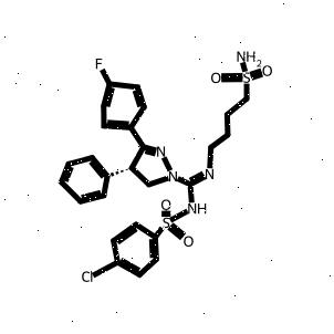 NS(=O)(=O)CCCC/N=C(/NS(=O)(=O)c1ccc(Cl)cc1)N1C[C@H](c2ccccc2)C(c2ccc(F)cc2)=N1